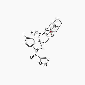 CCOC(=O)N1C2CCC1CC(N1CCC3(CC1)CN(C(=O)c1ccno1)c1ccc(F)cc13)C2